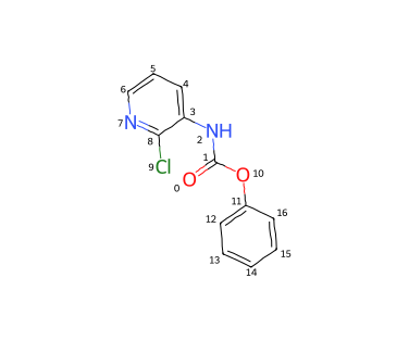 O=C(Nc1cccnc1Cl)Oc1ccccc1